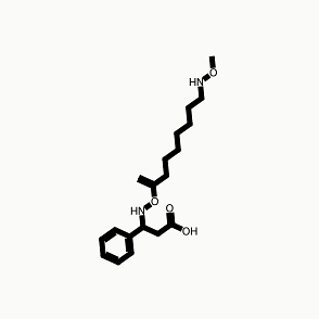 C=C(CCCCCCCNOC)ONC(CC(=O)O)c1ccccc1